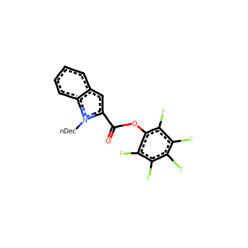 CCCCCCCCCCn1c(C(=O)Oc2c(F)c(F)c(F)c(F)c2F)cc2ccccc21